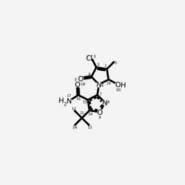 CC1=C(Cl)C(=O)N(c2noc(C(C)(C)C)c2C(N)=O)C1O